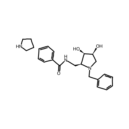 C1CCNC1.O=C(NC[C@H]1[C@@H](O)[C@@H](O)CN1Cc1ccccc1)c1ccccc1